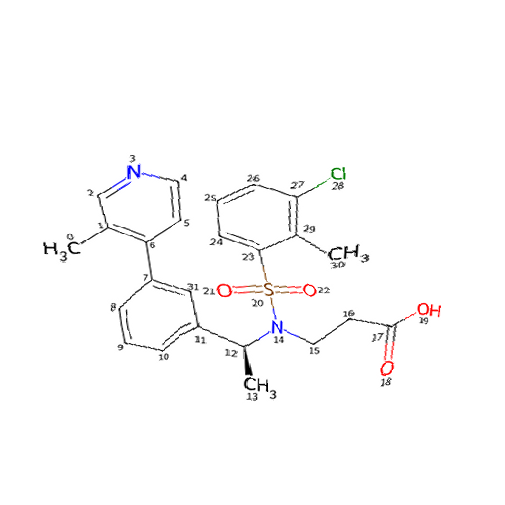 Cc1cnccc1-c1cccc([C@H](C)N(CCC(=O)O)S(=O)(=O)c2cccc(Cl)c2C)c1